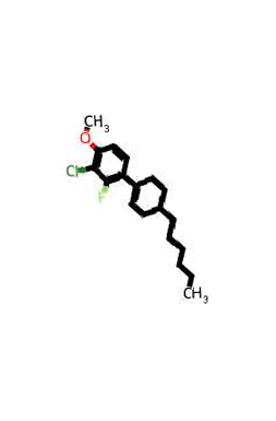 CCCCCCC1CC=C(c2ccc(OC)c(Cl)c2F)CC1